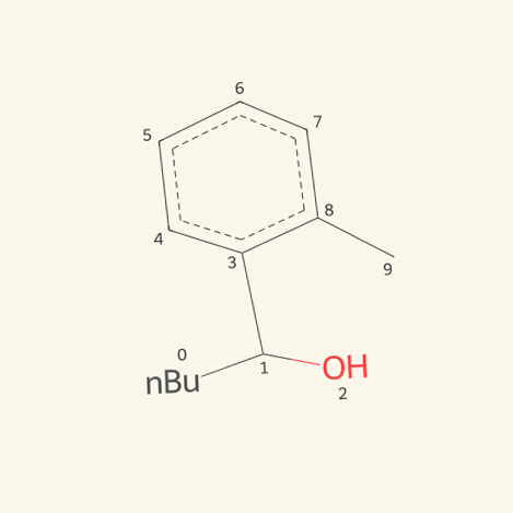 CCCCC(O)c1ccccc1C